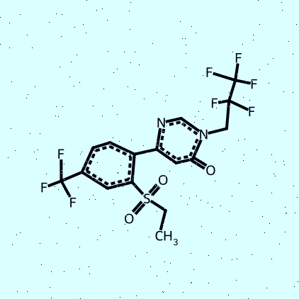 CCS(=O)(=O)c1cc(C(F)(F)F)ccc1-c1cc(=O)n(CC(F)(F)C(F)(F)F)cn1